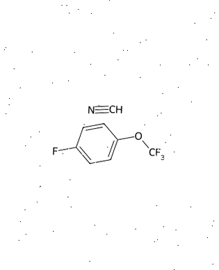 C#N.Fc1ccc(OC(F)(F)F)cc1